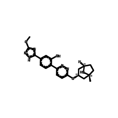 COc1n[nH]c(-c2ccc(-c3ccc(O[C@H]4C[C@@H]5CC[C@](C)(C4)N5)nn3)c(O)c2)n1